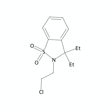 CCC1(CC)c2ccccc2S(=O)(=O)N1CCCl